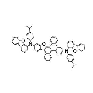 CC(C)c1ccc(N(c2ccc3c(c2)oc2c3c3ccccc3c3c4ccc(N(c5ccc(C(C)C)cc5)c5cccc6c5oc5ccccc56)cc4c4ccccc4c23)c2cccc3c2oc2ccccc23)cc1